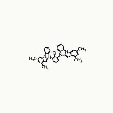 Cc1cc(C)c2cc3n(-c4cccc(-n5c6ccccc6n6c7cc(C)cc(C)c7cc56)c4Cl)c4ccccc4n3c2c1